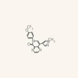 Cn1cc(-c2cn(-c3ccc(OC(F)(F)F)cc3)c(=O)c3nccnc23)cn1